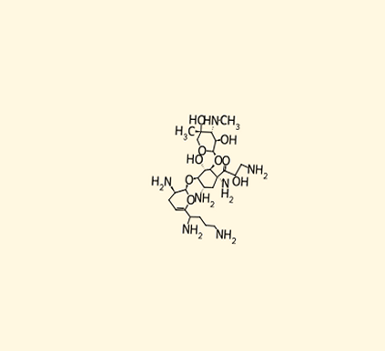 CN[C@@H]1[C@@H](O)[C@@H](O[C@@H]2[C@@H](O)[C@H](O[C@H]3OC(C(N)CCCN)=CC[C@H]3N)[C@@H](N)C[C@]2(N)C(=O)[C@H](O)CN)OC[C@]1(C)O